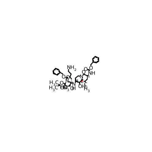 CC(C)C[C@H](NC(=O)OCc1ccccc1)C(=O)N1CCC(N[C@@](CCCCN)(C(=O)O)N(C(=O)OCc2ccccc2)C(=O)OC(C)(C)C)C(O)C1